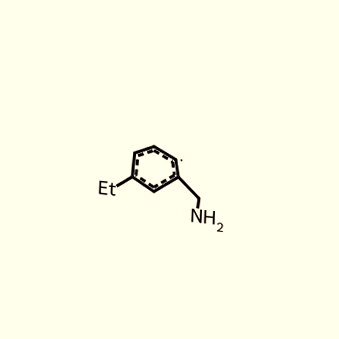 CCc1cc[c]c(CN)c1